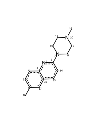 Cc1ccc2nc(N3CCN(C)CC3)ccc2c1